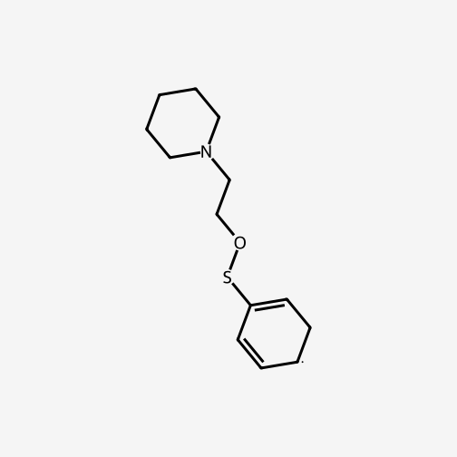 [CH]1C=CC(SOCCN2CCCCC2)=CC1